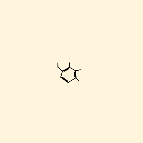 Cc1ccc(CC#N)c(F)c1C(F)(F)F